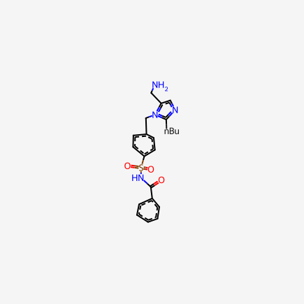 CCCCc1ncc(CN)n1Cc1ccc(S(=O)(=O)NC(=O)c2ccccc2)cc1